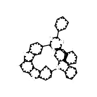 c1ccc(-c2nc(-c3ccccc3)nc(-c3ccc4sc5ccc6sc7ccc(-n8c9ccccc9c9ccccc98)cc7c6c5c4c3)n2)cc1